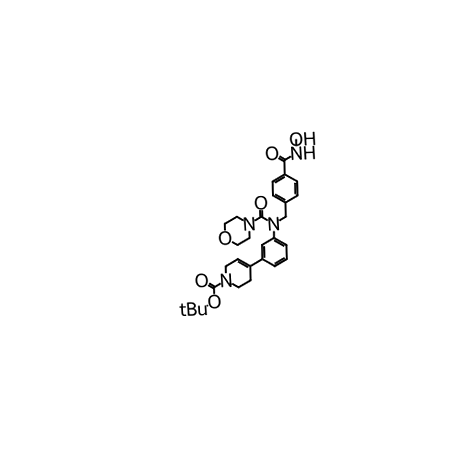 CC(C)(C)OC(=O)N1CC=C(c2cccc(N(Cc3ccc(C(=O)NO)cc3)C(=O)N3CCOCC3)c2)CC1